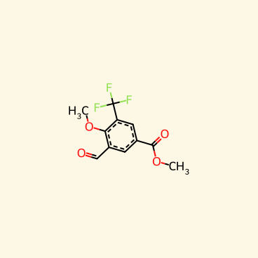 COC(=O)c1cc(C=O)c(OC)c(C(F)(F)F)c1